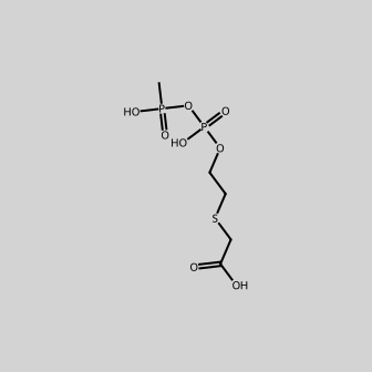 CP(=O)(O)OP(=O)(O)OCCSCC(=O)O